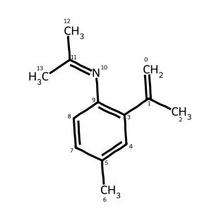 C=C(C)c1cc(C)ccc1N=C(C)C